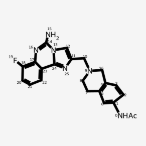 CC(=O)Nc1ccc2c(c1)CCN(Cc1cn3c(N)nc4c(F)cccc4c3n1)C2